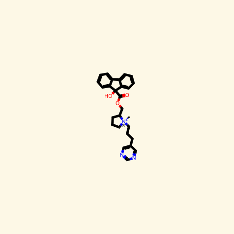 C[N@@+]1(CCCc2cncnc2)CCCC1COC(=O)C1(O)c2ccccc2-c2ccccc21